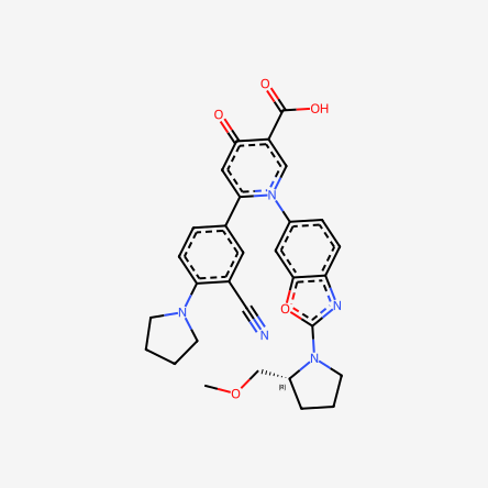 COC[C@H]1CCCN1c1nc2ccc(-n3cc(C(=O)O)c(=O)cc3-c3ccc(N4CCCC4)c(C#N)c3)cc2o1